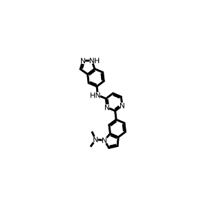 CN(C)n1ccc2ccc(-c3nccc(Nc4ccc5[nH]ncc5c4)n3)cc21